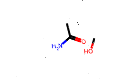 CC(N)=O.CO